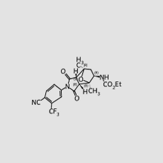 CCOC(=O)N[C@@H]1C[C@@]2(C)O[C@]1(C)[C@@H]1C(=O)N(c3ccc(C#N)c(C(F)(F)F)c3)C(=O)[C@@H]12